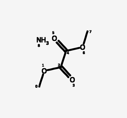 COC(=O)C(=O)OC.N